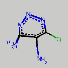 Nc1nnnc(Cl)c1N